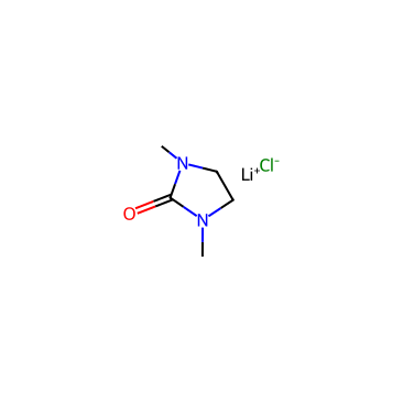 CN1CCN(C)C1=O.[Cl-].[Li+]